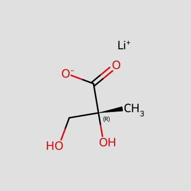 C[C@@](O)(CO)C(=O)[O-].[Li+]